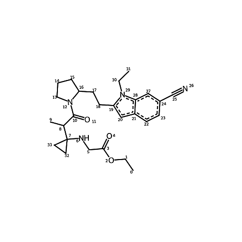 CCOC(=O)CNC1(C(C)C(=O)N2CCCC2CCc2cc3ccc(C#N)cc3n2CC)CC1